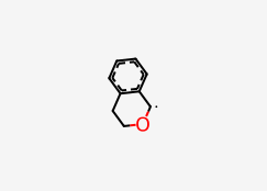 [CH]1OCCc2ccccc21